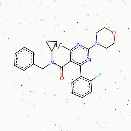 Cc1nc(N2CCOCC2)nc(-c2ccccc2F)c1C(=O)N(Cc1ccccc1)C1CC1